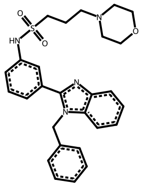 O=S(=O)(CCCN1CCOCC1)Nc1cccc(-c2nc3ccccc3n2Cc2ccccc2)c1